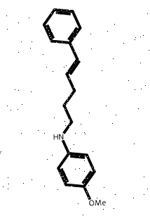 COc1ccc(NCCCC=Cc2ccccc2)cc1